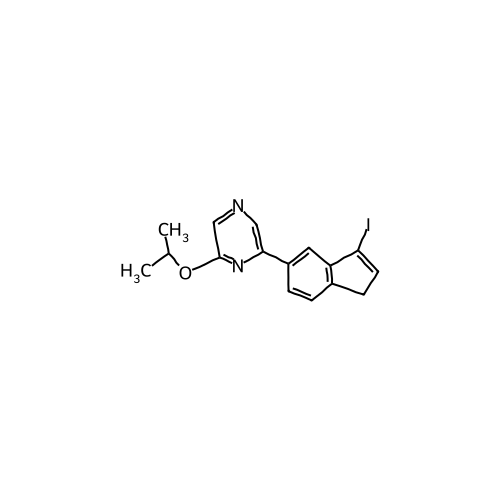 CC(C)Oc1cncc(-c2ccc3c(c2)C(I)=CC3)n1